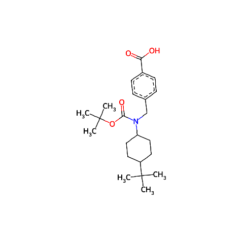 CC(C)(C)OC(=O)N(Cc1ccc(C(=O)O)cc1)C1CCC(C(C)(C)C)CC1